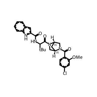 COc1cc(Cl)ccc1C(=O)N1C[C@@H]2C[C@H]1CN2C(=O)C(NC(=O)c1cc2ccccc2[nH]1)C(C)(C)C